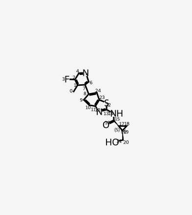 Cc1c(F)cncc1-c1ccc2nc(NC(=O)[C@H]3C[C@H]3CO)sc2c1